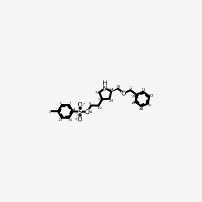 Cc1ccc(S(=O)(=O)OCCC2CN[C@@H](COCc3ccccc3)C2)cc1